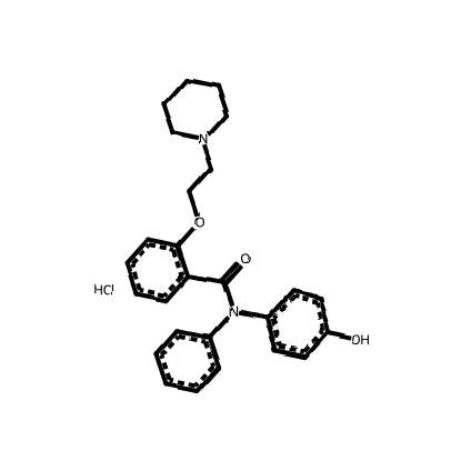 Cl.O=C(c1ccccc1OCCN1CCCCC1)N(c1ccccc1)c1ccc(O)cc1